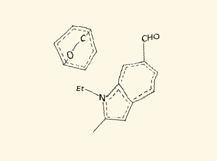 CCn1c(C)cc2ccc(C=O)cc21.c1cc2ccc1CO2